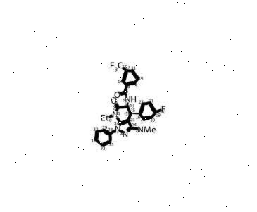 CCN1C(=O)[C@@H](NC(=O)c2cccc(C(F)(F)F)c2)[C@@H](c2ccc(F)cc2)c2c(NC)nn(-c3ccccc3)c21